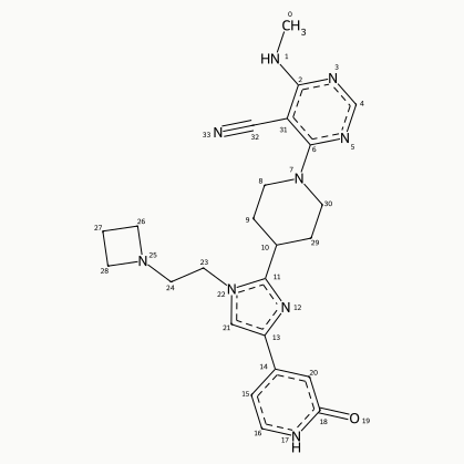 CNc1ncnc(N2CCC(c3nc(-c4cc[nH]c(=O)c4)cn3CCN3CCC3)CC2)c1C#N